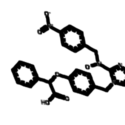 CCCCc1nnc([S+]([O-])Cc2ccc([N+](=O)[O-])cc2)n1Cc1ccc(OC(C(=O)O)c2ccccc2)cc1